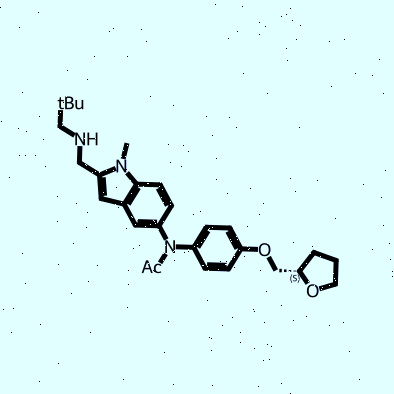 CC(=O)N(c1ccc(OC[C@@H]2CCCO2)cc1)c1ccc2c(c1)cc(CNCC(C)(C)C)n2C